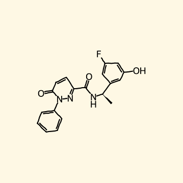 C[C@@H](NC(=O)c1ccc(=O)n(-c2ccccc2)n1)c1cc(O)cc(F)c1